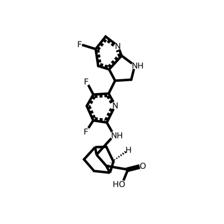 O=C(O)[C@H]1C2CCC(CC2)C1Nc1nc(C2CNc3ncc(F)cc32)c(F)cc1F